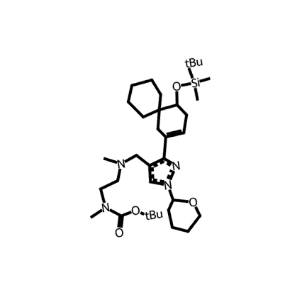 CN(CCN(C)C(=O)OC(C)(C)C)Cc1cn(C2CCCCO2)nc1C1=CCC(O[Si](C)(C)C(C)(C)C)C2(CCCCC2)C1